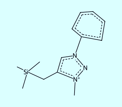 C[n+]1nn(-c2ccccc2)cc1C[Si](C)(C)C